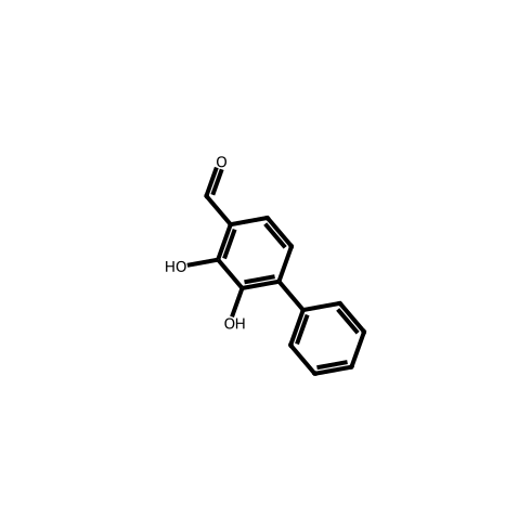 O=Cc1ccc(-c2ccccc2)c(O)c1O